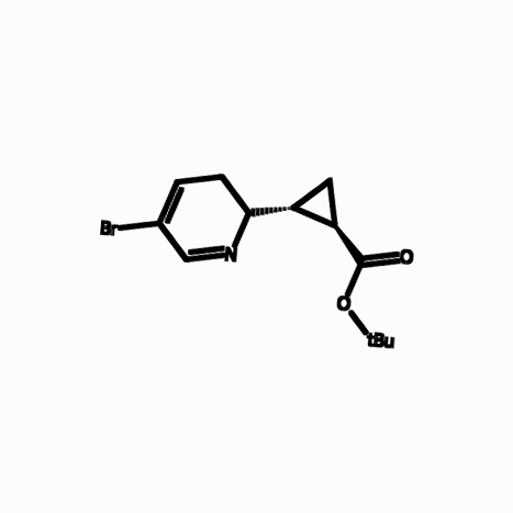 CC(C)(C)OC(=O)[C@@H]1C[C@H]1C1CC=C(Br)C=N1